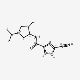 CC1CN(C(C)C)CC1NC(=O)c1cc(C#N)on1